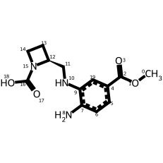 COC(=O)c1ccc(N)c(NC[C@@H]2CCN2C(=O)O)c1